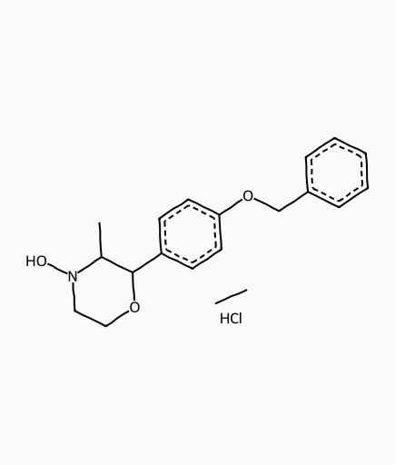 CC.CC1C(c2ccc(OCc3ccccc3)cc2)OCCN1O.Cl